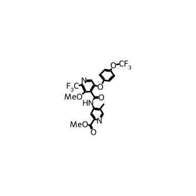 COC(=O)c1cc(NC(=O)c2c(Oc3ccc(OC(F)(F)F)cc3)cnc(C(F)(F)F)c2OC)c(C)cn1